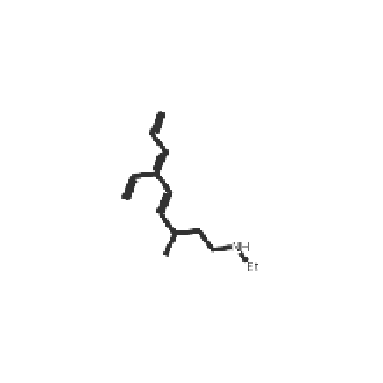 C=C/C=C(C=C)/C=C/C(C)CCNCC